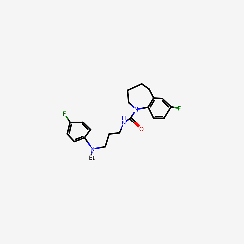 CCN(CCCNC(=O)N1CCCCc2cc(F)ccc21)c1ccc(F)cc1